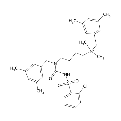 Cc1cc(C)cc(CN(CCCC[N+](C)(C)Cc2cc(C)cc(C)c2)C(=O)NS(=O)(=O)c2ccccc2Cl)c1